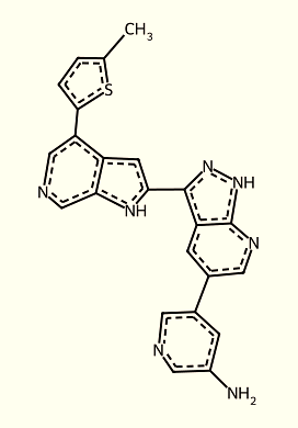 Cc1ccc(-c2cncc3[nH]c(-c4n[nH]c5ncc(-c6cncc(N)c6)cc45)cc23)s1